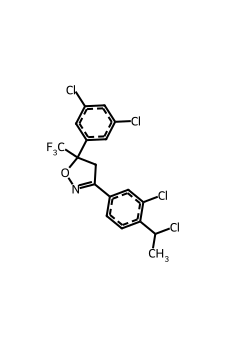 CC(Cl)c1ccc(C2=NOC(c3cc(Cl)cc(Cl)c3)(C(F)(F)F)C2)cc1Cl